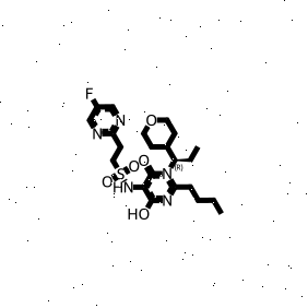 CCCCc1nc(O)c(NS(=O)(=O)CCc2ncc(F)cn2)c(=O)n1[C@H](CC)C1CCOCC1